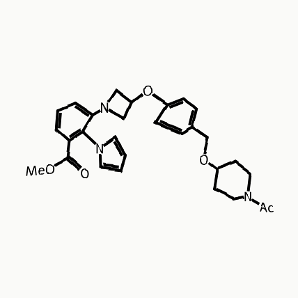 COC(=O)c1cccc(N2CC(Oc3ccc(COC4CCN(C(C)=O)CC4)cc3)C2)c1-n1cccc1